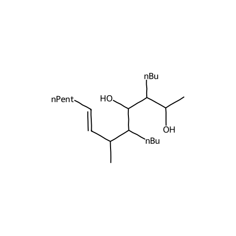 CCCCCC=CC(C)C(CCCC)C(O)C(CCCC)C(C)O